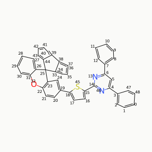 c1ccc(-c2cc(-c3ccccc3)nc(-c3ccc(-c4ccc5c(c4)C4(c6ccccc6O5)c5ccccc5-c5ccccc54)s3)n2)cc1